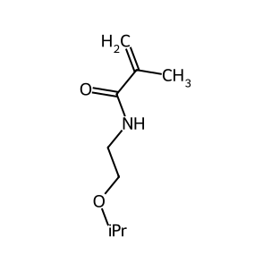 C=C(C)C(=O)NCCOC(C)C